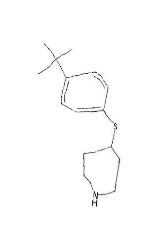 CC(C)(C)c1ccc(SC2CCNCC2)cc1